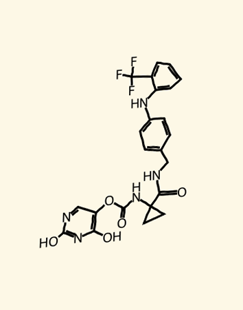 O=C(NC1(C(=O)NCc2ccc(Nc3ccccc3C(F)(F)F)cc2)CC1)Oc1cnc(O)nc1O